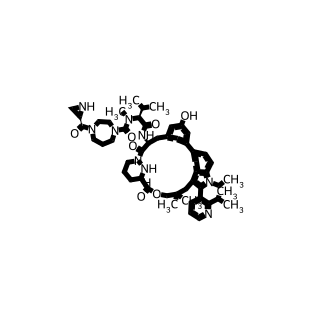 CCn1c(-c2cccnc2C(C)C)c2c3cc(ccc31)-c1cc(O)cc(c1)C[C@H](NC(=O)[C@H](C(C)C)N(C)C(=O)N1CCCN(C(=O)[C@@H]3CN3)CC1)C(=O)N1CCC[C@H](N1)C(=O)OCC(C)(C)C2